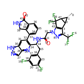 C[C@@H]1C2c3c(C(F)F)nn(CC(=O)N[C@@H](Cc4cc(F)cc(F)c4)c4nc5cn[nH]c5cc4-c4cccc5c4CNC5=O)c3C(F)(F)C21